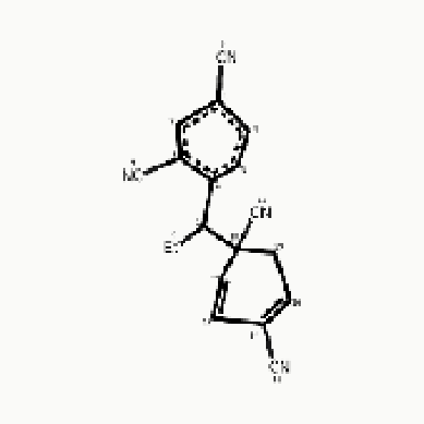 CCC(c1ccc(C#N)cc1C#N)C1(C#N)C=CC(C#N)=CC1